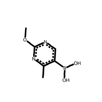 COc1ncc(B(O)O)c(C)n1